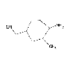 CC1CC(CN=O)CCC1N